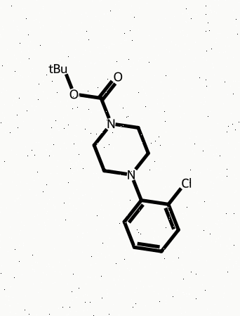 CC(C)(C)OC(=O)N1CCN(c2ccccc2Cl)CC1